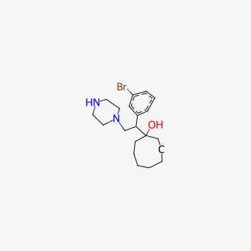 OC1(C(CN2CCNCC2)c2cccc(Br)c2)CCCCCCC1